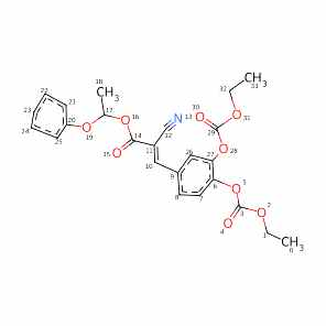 CCOC(=O)Oc1ccc(/C=C(\C#N)C(=O)OC(C)Oc2ccccc2)cc1OC(=O)OCC